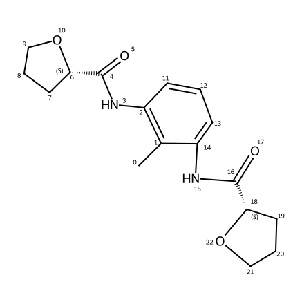 Cc1c(NC(=O)[C@@H]2CCCO2)cccc1NC(=O)[C@@H]1CCCO1